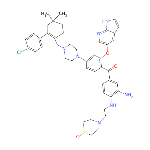 CC1(C)CCC(CN2CCN(c3ccc(C(=O)c4ccc(NCCN5CC[S+]([O-])CC5)c(N)c4)c(Oc4cnc5[nH]ccc5c4)c3)CC2)=C(c2ccc(Cl)cc2)C1